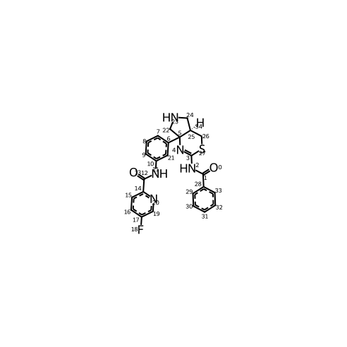 O=C(NC1=NC2(c3cccc(NC(=O)c4ccc(F)cn4)c3)CNC[C@H]2CS1)c1ccccc1